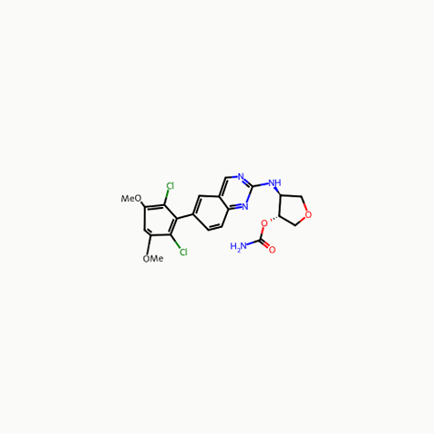 COc1cc(OC)c(Cl)c(-c2ccc3nc(N[C@H]4COC[C@@H]4OC(N)=O)ncc3c2)c1Cl